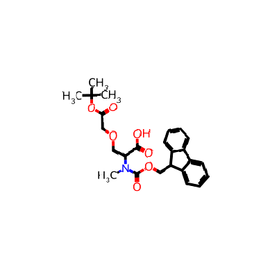 CN(C(=O)OCC1c2ccccc2-c2ccccc21)C(COCC(=O)OC(C)(C)C)C(=O)O